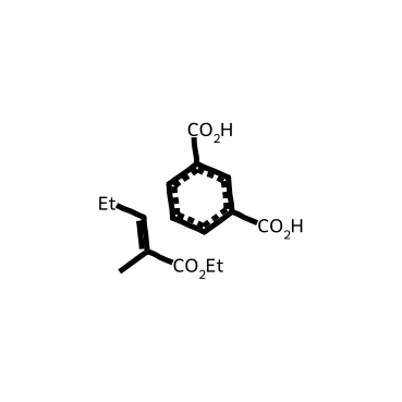 CCC=C(C)C(=O)OCC.O=C(O)c1cccc(C(=O)O)c1